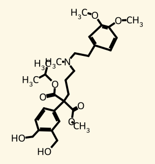 COC(=O)C(CCCN(C)CCc1ccc(OC)c(OC)c1)(C(=O)OC(C)C)c1ccc(CO)c(CO)c1